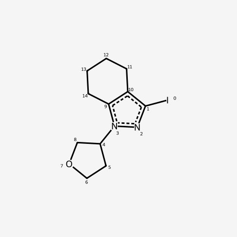 Ic1nn(C2CCOC2)c2c1CCCC2